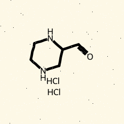 Cl.Cl.O=CC1CNCCN1